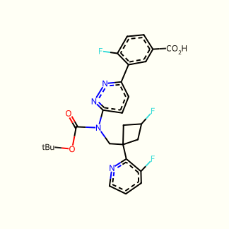 CC(C)(C)OC(=O)N(CC1(c2ncccc2F)CC(F)C1)c1ccc(-c2cc(C(=O)O)ccc2F)nn1